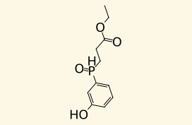 CCOC(=O)CC[PH](=O)c1cccc(O)c1